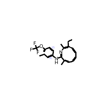 C=C(/C=C\C(=C/CC)Nc1nc(C)c(CC)cccccc1C)OC(F)(F)F